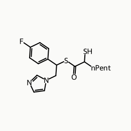 CCCCCC(S)C(=O)SC(Cn1ccnc1)c1ccc(F)cc1